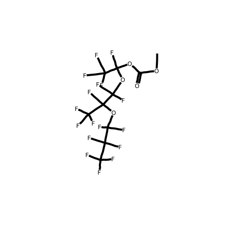 COC(=O)OC(F)(OC(F)(F)C(F)(OC(F)(F)C(F)(F)C(F)(F)F)C(F)(F)F)C(F)(F)F